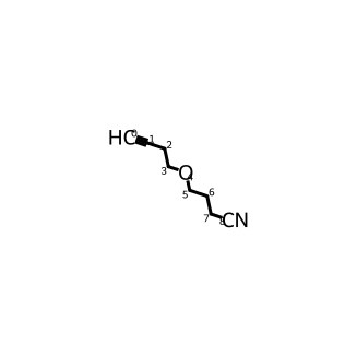 C#CCCOCCCC#N